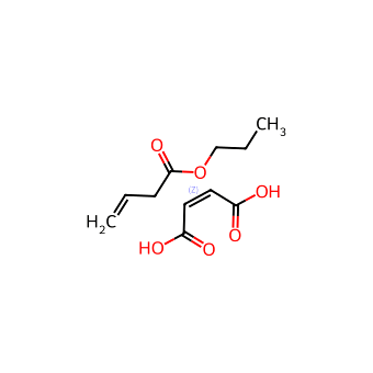 C=CCC(=O)OCCC.O=C(O)/C=C\C(=O)O